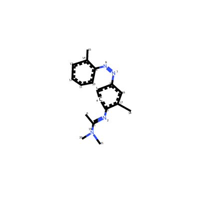 C/C(=N\c1ccc(/N=N\c2ccccc2C)cc1C)N(C)C